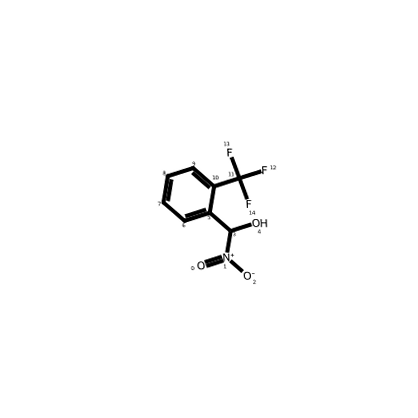 O=[N+]([O-])C(O)c1ccccc1C(F)(F)F